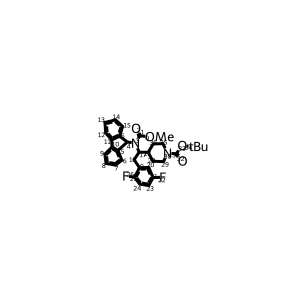 COC(=O)N(C1c2ccccc2-c2ccccc21)C(Cc1cc(F)ccc1F)C1CCN(C(=O)OC(C)(C)C)CC1